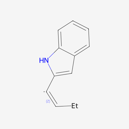 CC/C=[C]\c1cc2ccccc2[nH]1